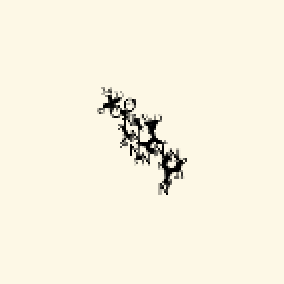 C[C@@H]1CN(c2ncnc3c2c(C2CC2)cn3-c2cc(C#N)ccn2)[C@@H](C)CN1C(=O)OC(C)(C)C